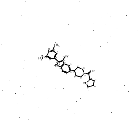 Cc1cc(-c2[nH]c3ccc(C4CCN(C(=O)C5CCCO5)CC4)cc3c2C(C)C)cc(C)n1